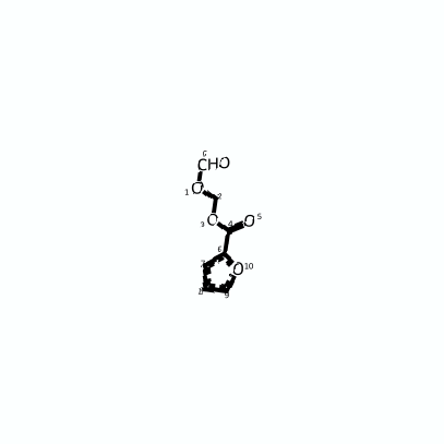 O=COCOC(=O)c1ccco1